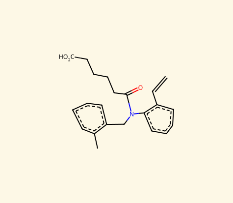 C=Cc1ccccc1N(Cc1ccccc1C)C(=O)CCCCC(=O)O